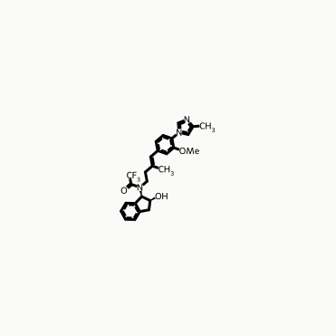 COc1cc(/C=C(\C)CCN(C(=O)C(F)(F)F)[C@@H]2c3ccccc3C[C@@H]2O)ccc1-n1cnc(C)c1